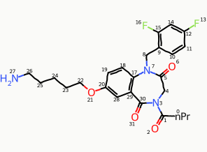 CCCC(=O)N1CC(=O)N(Cc2ccc(F)cc2F)c2ccc(OCCCCCN)cc2C1=O